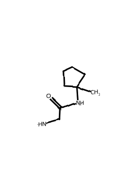 CC1(NC(=O)C[NH])CCCC1